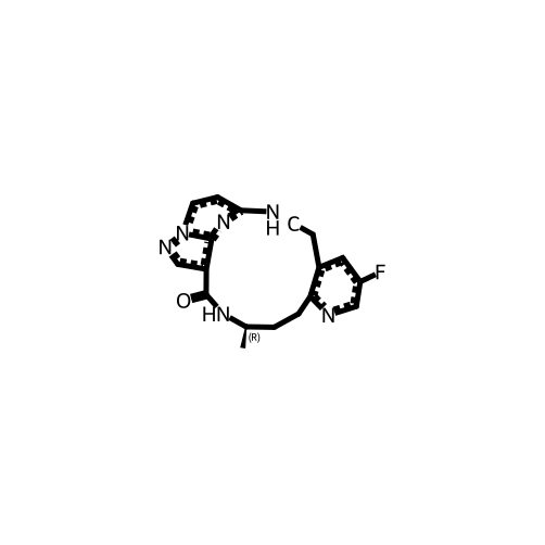 C[C@@H]1CCc2ncc(F)cc2CCNc2ccn3ncc(c3n2)C(=O)N1